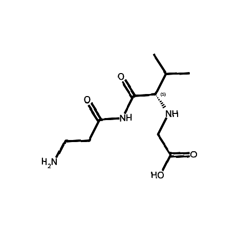 CC(C)[C@H](NCC(=O)O)C(=O)NC(=O)CCN